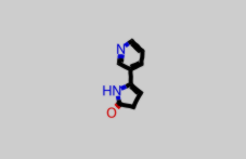 O=C1CC=C(c2cccnc2)N1